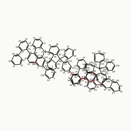 c1ccc(-c2cccc(N(c3ccccc3-c3ccccc3-c3ccccc3-c3ccccc3)c3cccc4c3-c3ccccc3C4(c3ccccc3)c3ccc(-c4cccc(-c5ccccc5-c5ccccc5-c5ccccc5N(c5cccc(-c6ccc7ccccc7c6)c5)c5cccc6c5-c5ccccc5C6(c5ccccc5)c5ccccc5)c4)cc3)c2)cc1